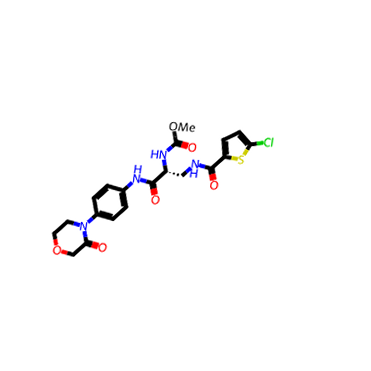 COC(=O)N[C@H](CNC(=O)c1ccc(Cl)s1)C(=O)Nc1ccc(N2CCOCC2=O)cc1